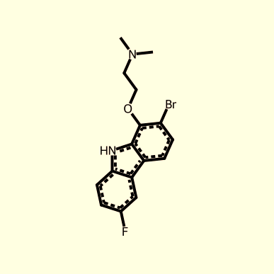 CN(C)CCOc1c(Br)ccc2c1[nH]c1ccc(F)cc12